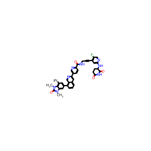 CC(C)c1cc(-c2cccc3cc(-c4ccc(C(=O)NCC#Cc5cc(NC6CCC(=O)NC6=O)ncc5F)nc4)ncc23)cc2c1n(C)c(=O)n2C